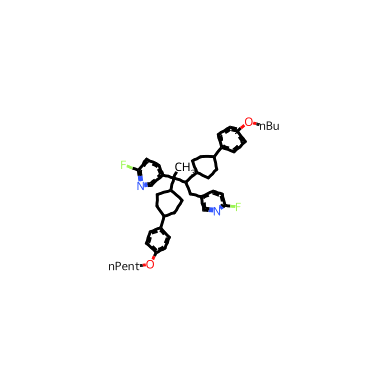 CCCCCOc1ccc(C2CCC(C(C)(c3ccc(F)nc3)C(Cc3ccc(F)nc3)C3CCC(c4ccc(OCCCC)cc4)CC3)CC2)cc1